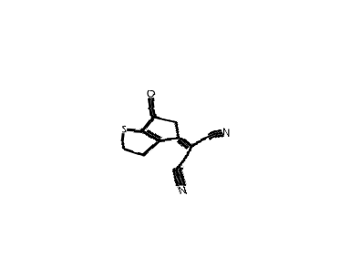 N#CC(C#N)=C1CC(=O)C2=C1CCS2